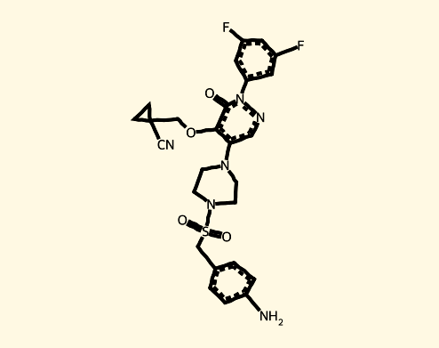 N#CC1(COc2c(N3CCN(S(=O)(=O)Cc4ccc(N)cc4)CC3)cnn(-c3cc(F)cc(F)c3)c2=O)CC1